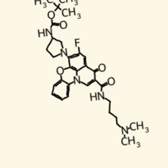 CN(C)CCCCNC(=O)c1cn2c3c(c(N4CCC(NC(=O)OC(C)(C)C)C4)c(F)cc3c1=O)Oc1ccccc1-2